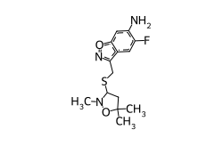 CN1OC(C)(C)CC1SCc1noc2cc(N)c(F)cc12